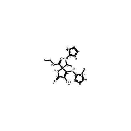 CCOC(=O)C1(C(C)Sc2ncc[nH]2)OC(=O)C(O)=C1Sc1nccn1C